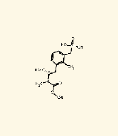 Cc1c(C[C@@H](C(=O)O)N(C)C(=O)OC(C)(C)C)cccc1CP(=O)(O)O